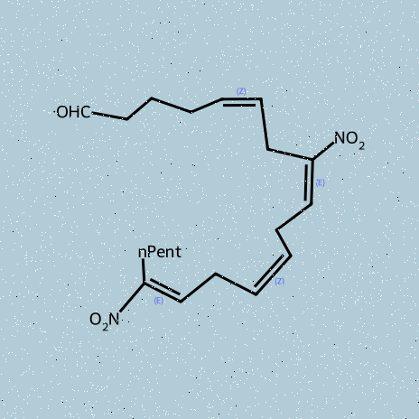 CCCCC/C(=C\C/C=C\C/C=C(\C/C=C\CCC[C]=O)[N+](=O)[O-])[N+](=O)[O-]